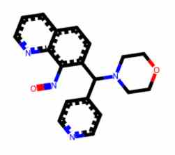 O=Nc1c(C(c2ccncc2)N2CCOCC2)ccc2cccnc12